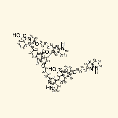 O=C(O)C(c1ccccc1C1CC1c1ccc(C2CC2)c([C@@H](C(=O)O)N2CC[C@H](OCCCCc3cc(-c4ccc(C5CC5)c([C@H](C(=O)O)N5CC[C@H](OCCCCc6ccc7c(n6)NCCC7)C5)c4)c4c(n3)NCCC4)C2)c1)N1CC[C@@H](OCCCCCc2ccc3c(n2)NCCC3)C1